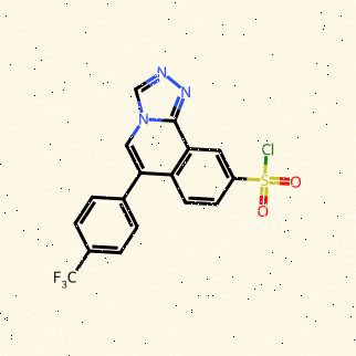 O=S(=O)(Cl)c1ccc2c(-c3ccc(C(F)(F)F)cc3)cn3cnnc3c2c1